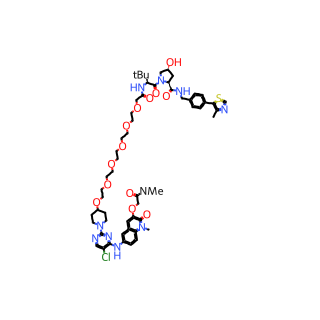 CNC(=O)COc1cc2cc(Nc3nc(N4CCC(OCCOCCOCCOCCOCCOCC(=O)N[C@H](C(=O)N5C[C@H](O)C[C@H]5C(=O)NCc5ccc(-c6scnc6C)cc5)C(C)(C)C)CC4)ncc3Cl)ccc2n(C)c1=O